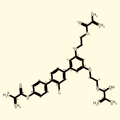 C=C(C)C(=O)OCCOc1cc(OCCOC(O)C(=C)C)cc(-c2ccc(-c3ccc(OC(=O)C(=C)C)cc3)c(F)c2)c1